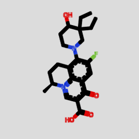 CCC1(CC)CN(c2c(F)cc3c(=O)c(C(=O)O)cn4c3c2CC[C@@H]4C)CCC1O